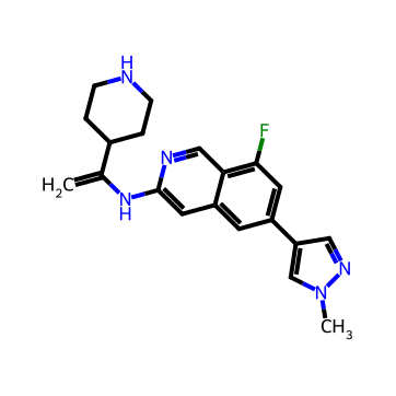 C=C(Nc1cc2cc(-c3cnn(C)c3)cc(F)c2cn1)C1CCNCC1